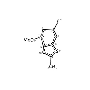 CO[n+]1cc(F)cc2sc(C)nc21